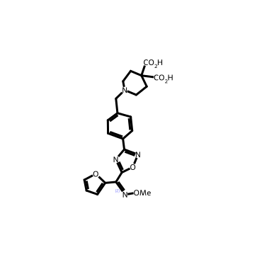 CO/N=C(/c1ccco1)c1nc(-c2ccc(CN3CCC(C(=O)O)(C(=O)O)CC3)cc2)no1